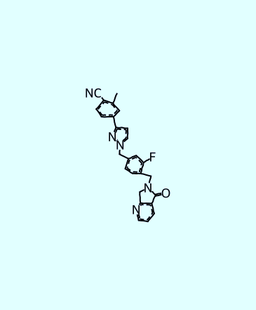 Cc1cc(-c2ccn(Cc3ccc(CN4Cc5ncccc5C4=O)c(F)c3)n2)ccc1C#N